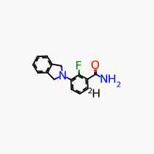 [2H]c1ccc(N2Cc3ccccc3C2)c(F)c1C(N)=O